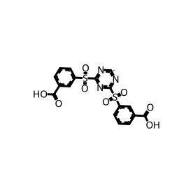 O=C(O)c1cccc(S(=O)(=O)c2n[c]nc(S(=O)(=O)c3cccc(C(=O)O)c3)n2)c1